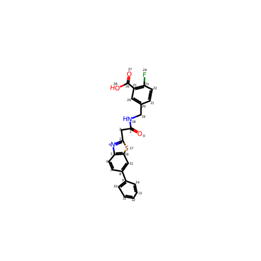 O=C(Cc1nc2ccc(-c3ccccc3)cc2s1)NCc1ccc(F)c(C(=O)O)c1